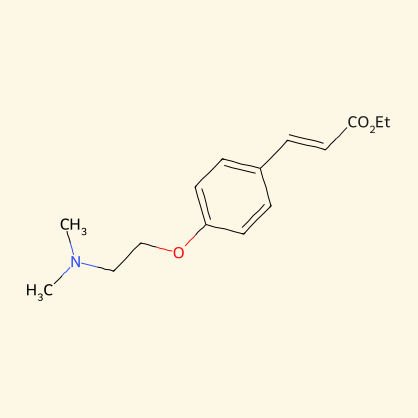 CCOC(=O)C=Cc1ccc(OCCN(C)C)cc1